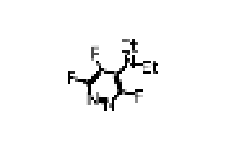 CCN(CC)c1c(F)nnc(F)c1F